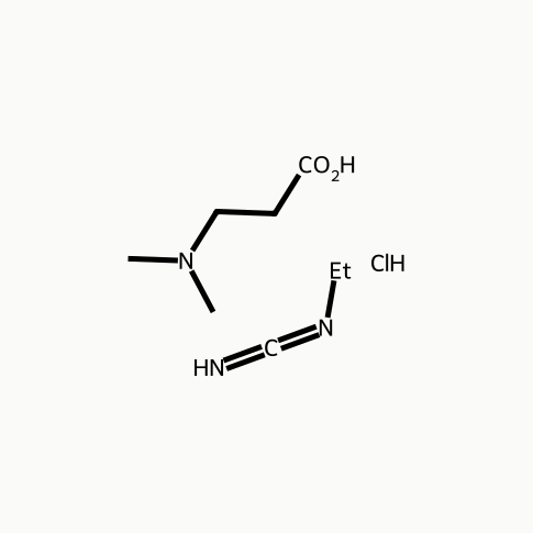 CCN=C=N.CN(C)CCC(=O)O.Cl